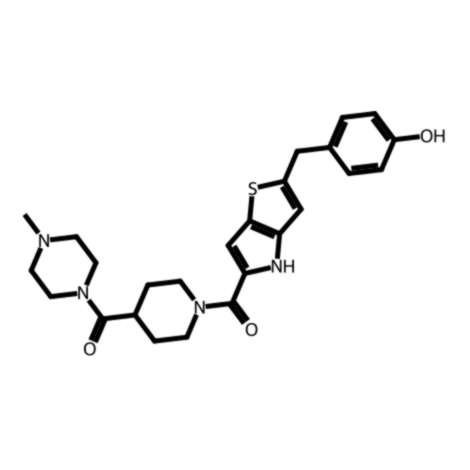 CN1CCN(C(=O)C2CCN(C(=O)c3cc4sc(Cc5ccc(O)cc5)cc4[nH]3)CC2)CC1